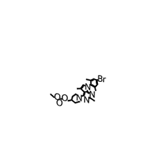 CCOC(=O)OCC1CCN(c2nc(C)nc3c2c(C)cn3-c2c(C)cc(Br)cc2C)CC1